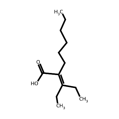 CCCCCCC(C(=O)O)=C(CC)CC